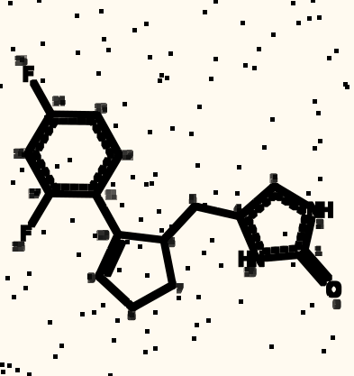 O=c1[nH]cc(CC2CCC=C2c2ccc(F)cc2F)[nH]1